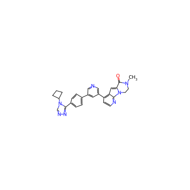 CN1CCn2c(cc3c(-c4cncc(-c5ccc(-c6nncn6C6CCC6)cc5)c4)ccnc32)C1=O